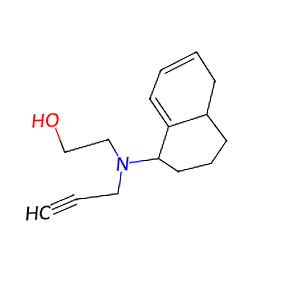 C#CCN(CCO)C1CCCC2CC=CC=C21